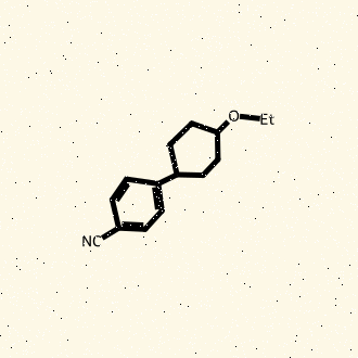 CCOC1CCC(c2ccc(C#N)cc2)CC1